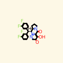 O=C1c2c(O)c(=O)cnn2[C@@H](C(c2ccc(F)c(F)c2)c2cccc(F)c2F)[C@H]2CCCN12